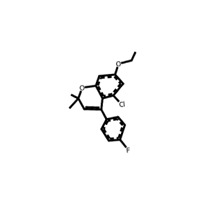 CCOc1cc(Cl)c2c(c1)OC(C)(C)C=C2c1ccc(F)cc1